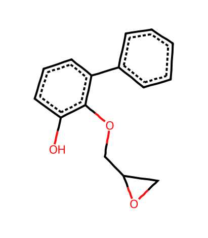 Oc1cccc(-c2ccccc2)c1OCC1CO1